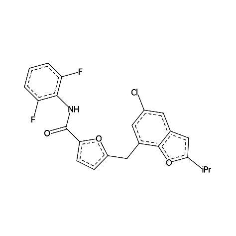 CC(C)c1cc2cc(Cl)cc(Cc3ccc(C(=O)Nc4c(F)cccc4F)o3)c2o1